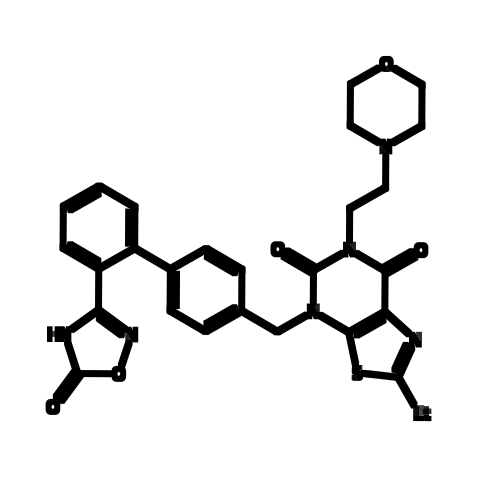 CCc1nc2c(=O)n(CCN3CCOCC3)c(=O)n(Cc3ccc(-c4ccccc4-c4noc(=O)[nH]4)cc3)c2s1